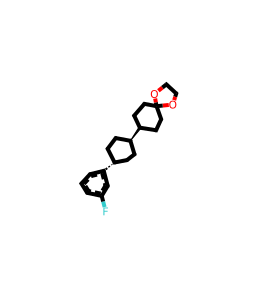 Fc1cccc([C@H]2CC[C@H](C3CCC4(CC3)OCCO4)CC2)c1